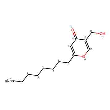 CCCCCCCCCCCCCCCCc1cc(=O)c(CO)co1